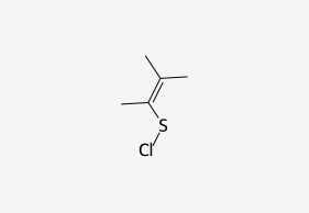 CC(C)=C(C)SCl